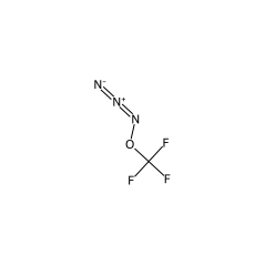 [N-]=[N+]=NOC(F)(F)F